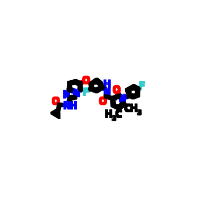 Cc1cc(C(=O)Nc2ccc(Oc3ccc4nc(NC(=O)C5CC5)cn4c3)c(F)c2)c(=O)n(-c2ccc(F)cc2)c1C